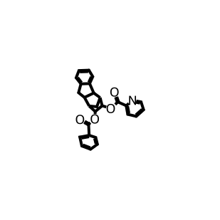 O=C(OC1C2CC(C1OC(=O)c1ccccn1)C1c3ccccc3CC21)c1ccccc1